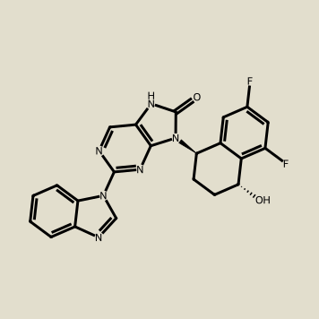 O=c1[nH]c2cnc(-n3cnc4ccccc43)nc2n1[C@@H]1CC[C@@H](O)c2c(F)cc(F)cc21